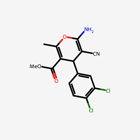 COC(=O)C1=C(C)OC(N)=C(C#N)C1c1ccc(Cl)c(Cl)c1